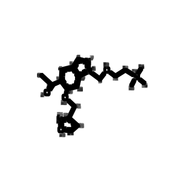 CC(=O)c1cc2cnn(COCC[Si](C)(C)C)c2cc1OCc1ccon1